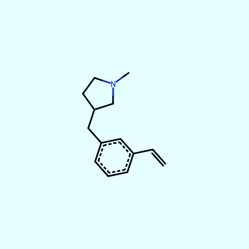 C=Cc1cccc(CC2CCN(C)C2)c1